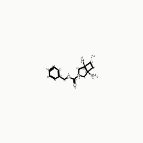 C[C@@H]1C[C@]2(N)CN(C(=O)OCc3ccccc3)C[C@H]12